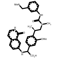 CNCc1cccc(NC(=O)N(C)C[C@H](C)c2ccc(C(Nc3ccc4cc[nH]c(=O)c4c3)C(=O)O)cc2OC)c1